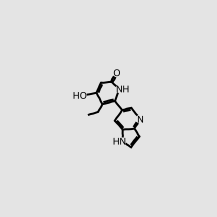 CCc1c(O)cc(=O)[nH]c1-c1cnc2cc[nH]c2c1